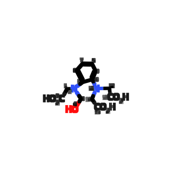 O=C(O)CN(CO)c1ccccc1N(CC(=O)O)CC(=O)O